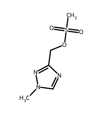 Cn1cnc(COS(C)(=O)=O)n1